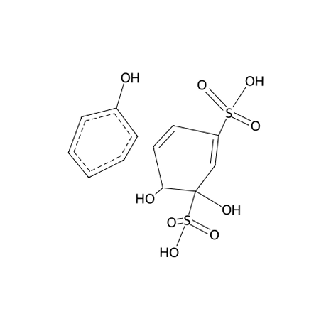 O=S(=O)(O)C1=CC(O)(S(=O)(=O)O)C(O)C=C1.Oc1ccccc1